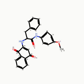 COc1ccc(NC(=O)C(Cc2ccccc2)NC2=CC(=O)c3ccccc3C2=O)cc1